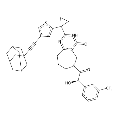 O=C([C@H](O)c1cccc(C(F)(F)F)c1)N1CCCc2nc(C3(c4cc(C#CC56CC7CC(CC(C7)C5)C6)cs4)CC3)[nH]c(=O)c2C1